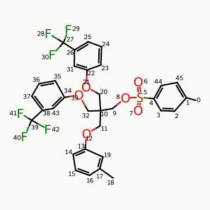 Cc1ccc(S(=O)(=O)OCC(COc2cccc(C)c2)(COc2cccc(C(F)(F)F)c2)COc2cccc(C(F)(F)F)c2)cc1